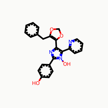 Oc1ccc(-c2nc(C3=C(Cc4ccccc4)OCO3)c(-c3ccccn3)n2O)cc1